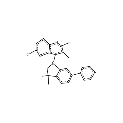 Cc1nc2ccc(Cl)cc2c(N2CC(C)(C)c3ccc(-c4ccncc4)cc32)c1C